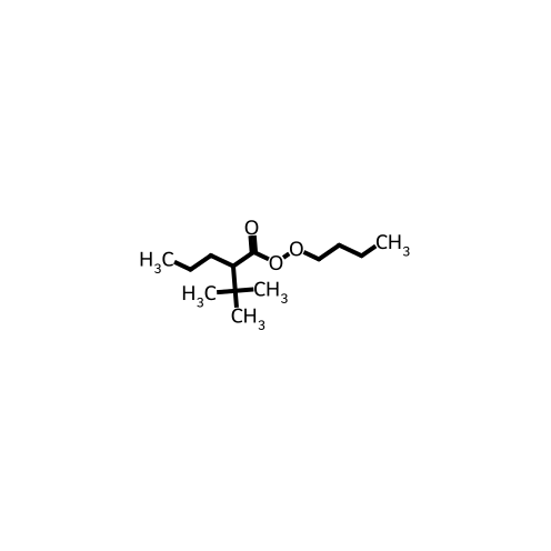 CCCCOOC(=O)C(CCC)C(C)(C)C